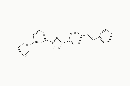 C(=Cc1ccc(-n2nnc(-c3cccc(-c4ccccc4)c3)n2)cc1)c1ccccc1